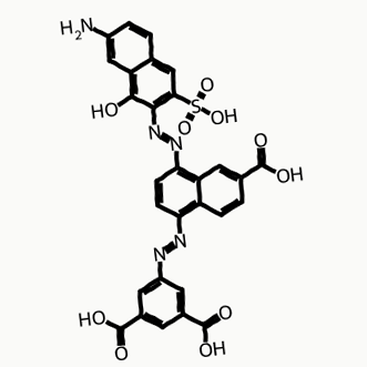 Nc1ccc2cc(S(=O)(=O)O)c(/N=N/c3ccc(/N=N/c4cc(C(=O)O)cc(C(=O)O)c4)c4ccc(C(=O)O)cc34)c(O)c2c1